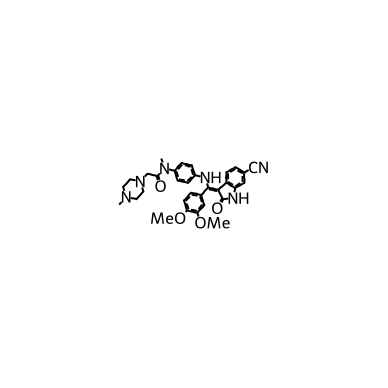 COc1ccc(C(Nc2ccc(N(C)C(=O)CN3CCN(C)CC3)cc2)=C2C(=O)Nc3cc(C#N)ccc32)cc1OC